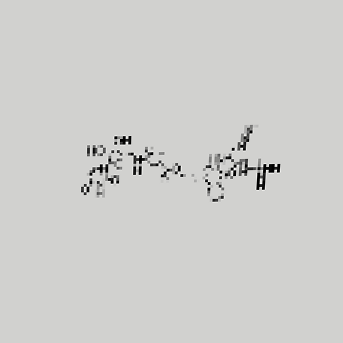 CC1(CNC(=O)C(CN=[N+]=[N-])NC(=O)OC(CCCOC(=O)NCC(=O)NCC2OC(n3ccc(=O)[nH]c3=O)C(O)C2O)c2ccccc2)NN1